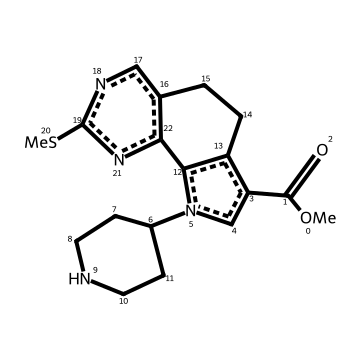 COC(=O)c1cn(C2CCNCC2)c2c1CCc1cnc(SC)nc1-2